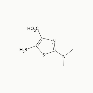 Bc1sc(N(C)C)nc1C(=O)O